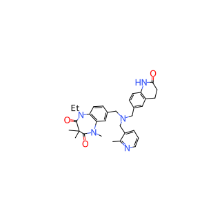 CCN1C(=O)C(C)(C)C(=O)N(C)c2cc(CN(Cc3ccc4c(c3)CCC(=O)N4)Cc3cccnc3C)ccc21